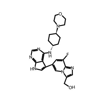 OCc1cnc2c(F)cc(-c3c[nH]c4ncnc(N[C@H]5CC[C@H](N6CCOCC6)CC5)c34)cn12